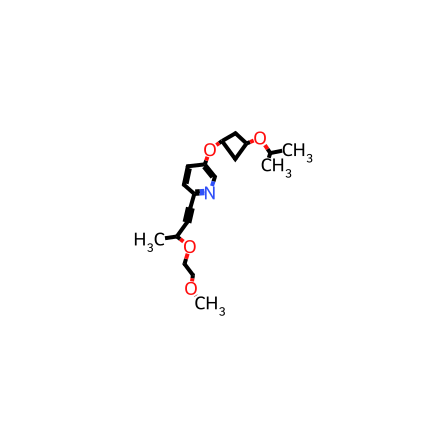 COCCOC(C)C#Cc1ccc(OC2CC(OC(C)C)C2)cn1